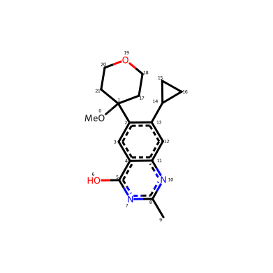 COC1(c2cc3c(O)nc(C)nc3cc2C2CC2)CCOCC1